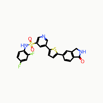 O=C1NCc2cc(-c3ccc(-c4cncc(S(=O)(=O)Nc5ccc(F)cc5F)c4)s3)ccc21